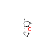 Cc1cc(C)c(Oc2ccccc2)c(C)c1